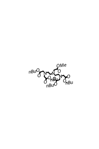 CCCCOC(=O)CN(CCN(CCN(CC(=O)OCCCC)CC(=O)OCCCC)CC(=O)OC)CC(=O)OCCCC